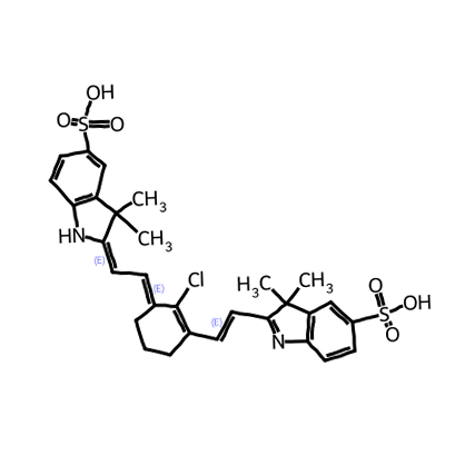 CC1(C)C(/C=C/C2=C(Cl)C(=C/C=C3/Nc4ccc(S(=O)(=O)O)cc4C3(C)C)/CCC2)=Nc2ccc(S(=O)(=O)O)cc21